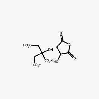 O=C(O)CC(O)(CC(=O)O)C(=O)O.O=C1CC(O)C(=O)O1